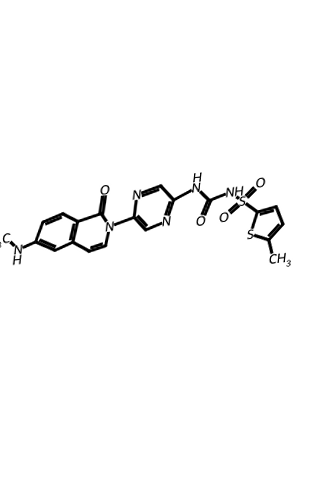 CNc1ccc2c(=O)n(-c3cnc(NC(=O)NS(=O)(=O)c4ccc(C)s4)cn3)ccc2c1